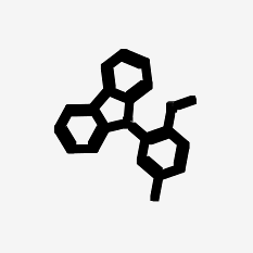 COc1ccc(C)cc1-n1c2ccccc2c2ccccc21